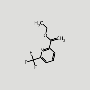 C=C(OCC)c1cccc(C(F)(F)F)n1